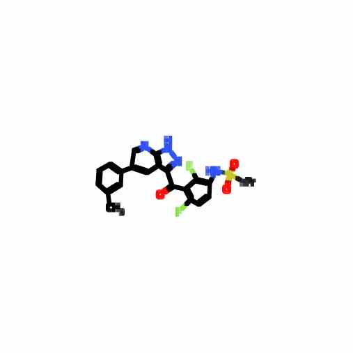 CCCS(=O)(=O)Nc1ccc(F)c(C(=O)c2n[nH]c3ncc(-c4cccc(C)c4)cc23)c1F